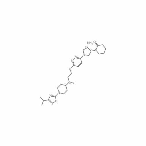 CC(C)c1noc(N2CCC([C@H](C)CCOc3ccc(N4C[C@H](N)[C@@H](N5CCCCC5=O)C4)nn3)CC2)n1